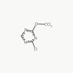 Clc1ncnc(OC(Cl)(Cl)Cl)n1